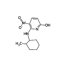 CC1CCCCC1Nc1nc(O)ccc1[N+](=O)[O-]